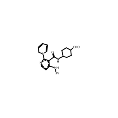 CC(C)Nc1ccnc(N2C=CC=CC2)c1C(=O)NC1CCC(C=O)CC1